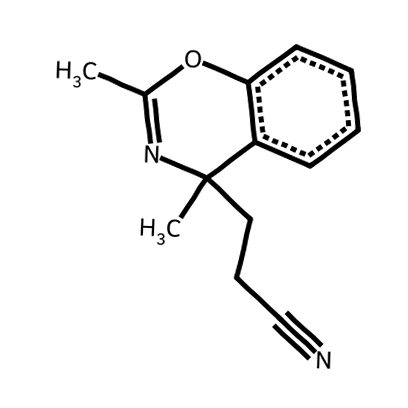 CC1=NC(C)(CCC#N)c2ccccc2O1